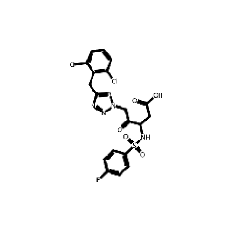 O=C(O)CC(NS(=O)(=O)c1ccc(F)cc1)C(=O)Cn1nnc(Cc2c(Cl)cccc2Cl)n1